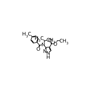 CCOC(=O)c1c[nH]nc1N(C(=O)c1ccc(C)cc1)C(C)C